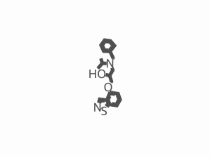 CC(C)N(Cc1ccccc1)CC(O)COc1cccc2sncc12